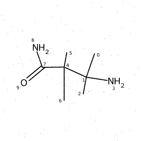 CC(C)(N)C(C)(C)C(N)=O